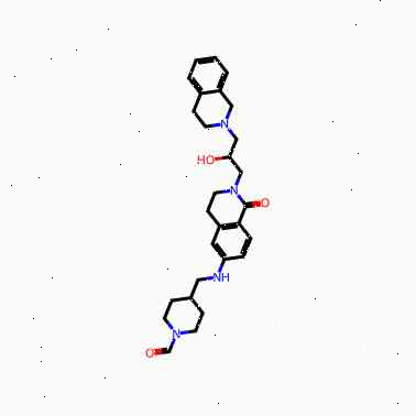 O=CN1CCC(CNc2ccc3c(c2)CCN(CC(O)CN2CCc4ccccc4C2)C3=O)CC1